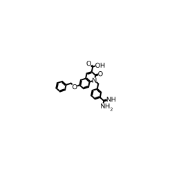 N=C(N)c1cccc(Cn2c(=O)c(C(=O)O)cc3cc(OCc4ccccc4)ccc32)c1